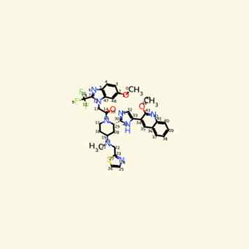 COc1ccc2nc(C(F)(F)F)n(CC(=O)N3CC[C@H](N(C)Cc4nccs4)C[C@H]3c3ncc(-c4cc5ccccc5nc4OC)[nH]3)c2c1